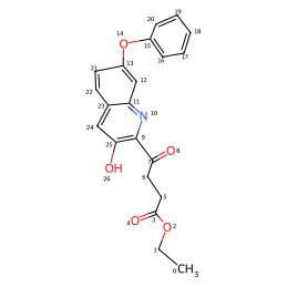 CCOC(=O)CCC(=O)c1nc2cc(Oc3ccccc3)ccc2cc1O